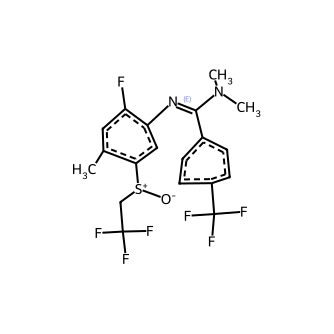 Cc1cc(F)c(/N=C(\c2ccc(C(F)(F)F)cc2)N(C)C)cc1[S+]([O-])CC(F)(F)F